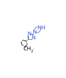 [CH2]c1cccc(-c2cnc(N3CCNCC3)nc2)c1